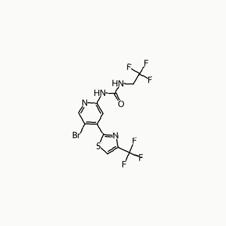 O=C(NCC(F)(F)F)Nc1cc(-c2nc(C(F)(F)F)cs2)c(Br)cn1